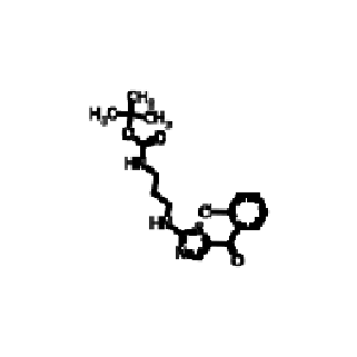 CC(C)(C)OC(=O)NCCCNc1ncc(C(=O)c2ccccc2Cl)s1